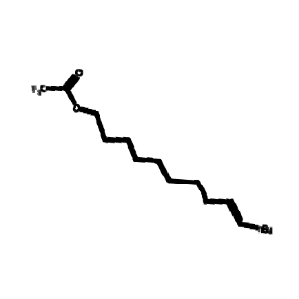 CCCC/C=C/CCCCCCCCOC(=O)C(F)(F)F